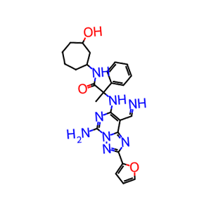 CC(Nc1nc(N)n2nc(-c3ccco3)nc2c1C=N)(C(=O)NC1CCCCC(O)C1)c1ccccc1